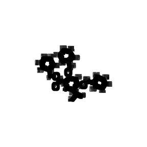 C=C(C)c1cc(C(=O)OCc2ccccc2)c(OCc2ccccc2)cc1OCc1ccccc1